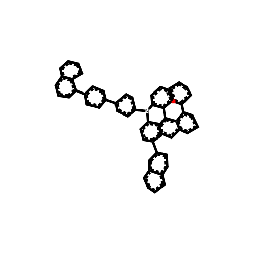 c1ccc(-c2cccc3cccc(-c4ccccc4N(c4ccc(-c5ccc(-c6cccc7ccccc67)cc5)cc4)c4ccc(-c5ccc6ccccc6c5)cc4)c23)cc1